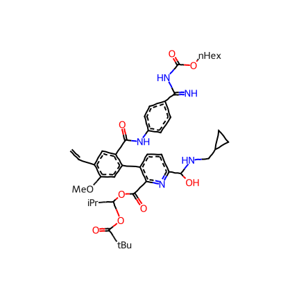 C=Cc1cc(C(=O)Nc2ccc(C(=N)NC(=O)OCCCCCC)cc2)c(-c2ccc(C(O)NCC3CC3)nc2C(=O)OC(OC(=O)C(C)(C)C)C(C)C)cc1OC